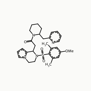 COc1cc(C)c(S(=O)(=O)N2CCn3cccc3C2CC(=O)N2CCCCC2Cc2ccccn2)c(C)c1